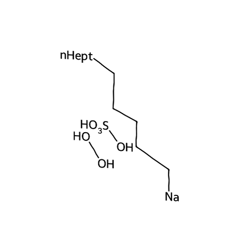 CCCCCCCCCCC[CH2][Na].O=S(=O)(O)O.OO